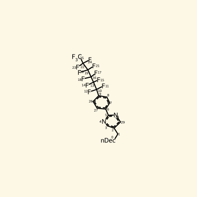 CCCCCCCCCCCc1cnc(-c2ccc(C(F)(F)C(F)(F)C(F)(F)C(F)(F)C(F)(F)C(F)(F)F)cc2)nc1